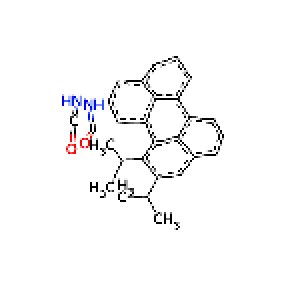 CC(C)c1cc2cccc3c4cccc5cccc(c(c1C(C)C)c23)c54.N=C=O.N=C=O